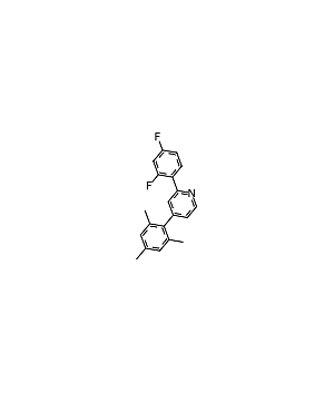 Cc1cc(C)c(-c2ccnc(-c3ccc(F)cc3F)c2)c(C)c1